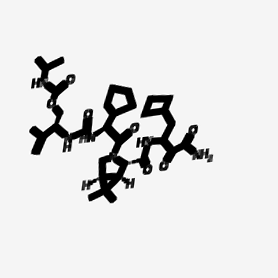 C=C(C)[C@@H](COC(=O)NC(C)C)NC(=O)N[C@H](C(=O)N1C[C@H]2[C@@H]([C@H]1C(=O)NC(CC1CCC1)C(=O)C(N)=O)C2(C)C)C1CCCC1